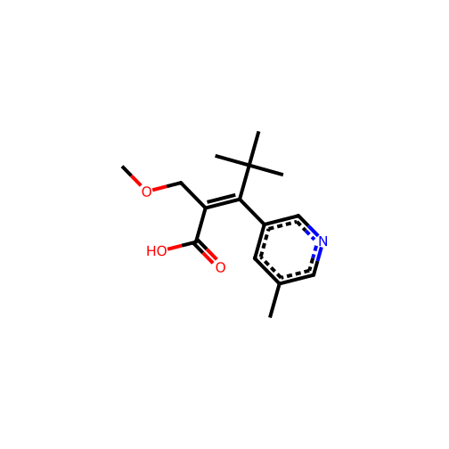 COCC(C(=O)O)=C(c1cncc(C)c1)C(C)(C)C